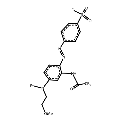 CCN(CCOC)c1ccc(/N=N/c2ccc(S(=O)(=O)F)cc2)c(NC(=O)C(F)(F)F)c1